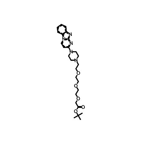 CC(C)(C)OC(=O)COCCOCCOCCN1CCN(c2ccn3c(n2)nc2ccccc23)CC1